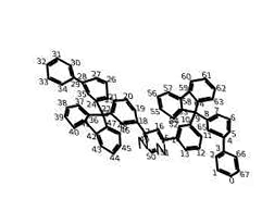 c1ccc(-c2cccc(C3(c4cccc(-c5cc(-c6cccc(C7(c8cccc(-c9ccccc9)c8)c8ccccc8-c8ccccc87)c6)ncn5)c4)c4ccccc4-c4ccccc43)c2)cc1